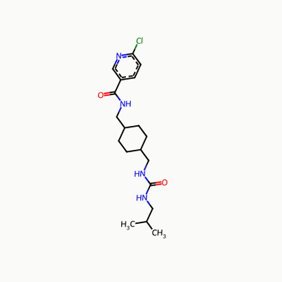 CC(C)CNC(=O)NCC1CCC(CNC(=O)c2ccc(Cl)nc2)CC1